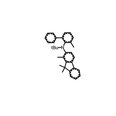 Cc1cccc(-c2ccccc2)c1N(c1ccc2c(c1C)C(C)(C)c1ccccc1-2)C(C)(C)C